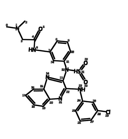 CN(C)CC(=O)Nc1cccc(N(c2nc3ccccc3nc2Nc2cccc(Cl)c2)[SH](=O)=O)c1